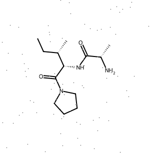 CC[C@H](C)[C@H](NC(=O)[C@H](C)N)C(=O)N1CCCC1